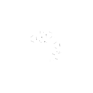 Cc1ccccc1NS(=O)(=O)c1cc(Oc2c(C)cc(NC(=O)C(=O)O)cc2C)ccc1O